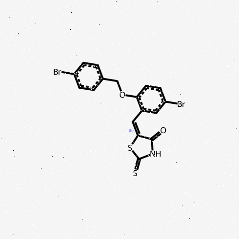 O=C1NC(=S)S/C1=C/c1cc(Br)ccc1OCc1ccc(Br)cc1